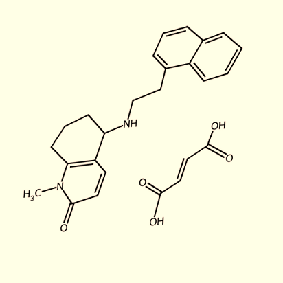 Cn1c2c(ccc1=O)C(NCCc1cccc3ccccc13)CCC2.O=C(O)C=CC(=O)O